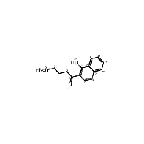 CCCCCCCCCCCCC(=O)c1ccc2ccccc2c1O